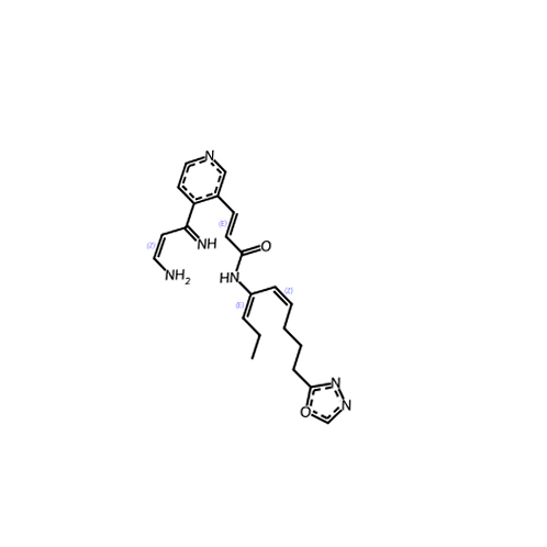 CC/C=C(\C=C/CCCc1nnco1)NC(=O)/C=C/c1cnccc1C(=N)/C=C\N